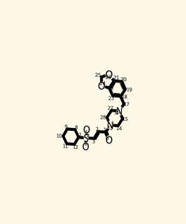 O=C(/C=C/S(=O)(=O)C1CCCCC1)N1CCN(Cc2ccc3c(c2)OCO3)CC1